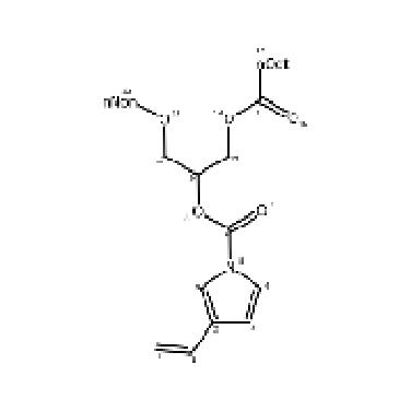 C=Cc1ccn(C(=O)OC(COCCCCCCCCC)COC(=O)CCCCCCCC)c1